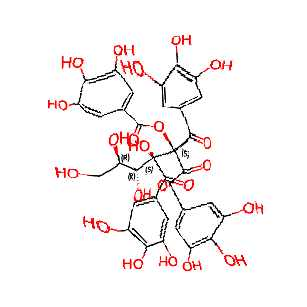 O=C(O[C@](C(=O)C(=O)c1cc(O)c(O)c(O)c1)(C(=O)c1cc(O)c(O)c(O)c1)[C@](O)(C(=O)c1cc(O)c(O)c(O)c1)[C@H](O)[C@H](O)CO)c1cc(O)c(O)c(O)c1